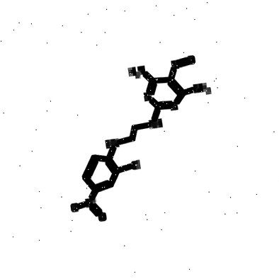 Nc1nc(NCCNc2ccc([N+](=O)[O-])cc2Cl)nc(N)c1N=O